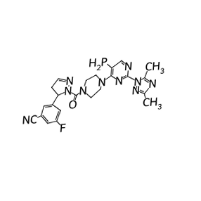 Cc1nc(C)n(-c2ncc(P)c(N3CCN(C(=O)N4N=CCC4c4cc(F)cc(C#N)c4)CC3)n2)n1